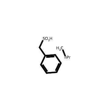 CCCC.O=S(=O)(O)Cc1ccccc1